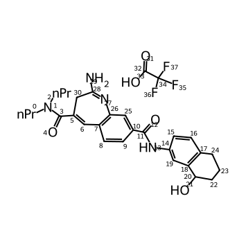 CCCN(CCC)C(=O)C1=Cc2ccc(C(=O)Nc3ccc4c(c3)C(O)CCC4)cc2N=C(N)C1.O=C(O)C(F)(F)F